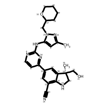 Cc1cc(Nc2nccc(-c3cc(C#N)c4c(c3)[C@@](C)(CO)CN4)n2)n(CC2CCCCO2)n1